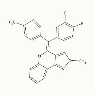 Cc1ccc(/C(=C2\Oc3ccccc3-c3nn(C)cc32)c2ccc(F)c(F)c2)cc1